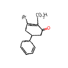 CC(C)C1=C(C(=O)O)C(=O)CC(c2ccccc2)C1